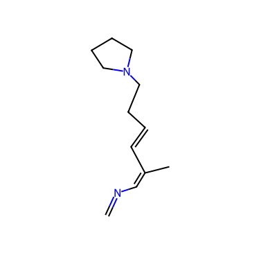 C=N/C=C(/C)C=CCCN1CCCC1